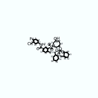 O=C(Nc1ccc(F)c(Cl)c1)c1ccc(F)c(S(=O)(=O)N2CC(O)CCC(OP(=O)(OCc3ccccc3)OCc3ccccc3)C2)c1